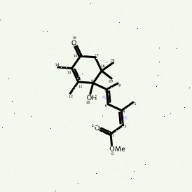 COC(=O)/C=C(C)\C=C(/C)C1(O)C(C)=C(C)C(=O)CC1(C)C